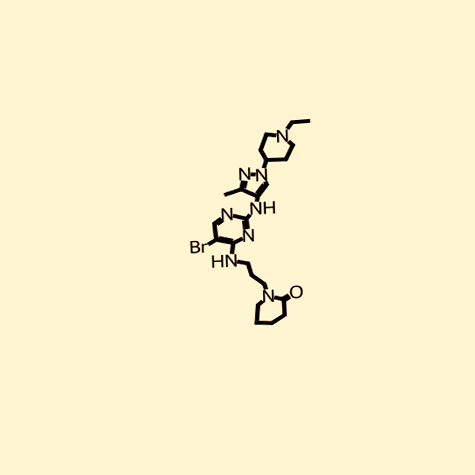 CCN1CCC(n2cc(Nc3ncc(Br)c(NCCCN4CCCCC4=O)n3)c(C)n2)CC1